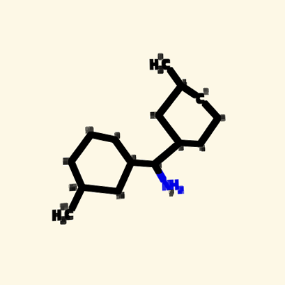 CC1CCCC(C(N)C2CCCC(C)C2)C1